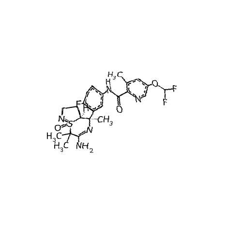 Cc1cc(OC(F)F)cnc1C(=O)Nc1ccc(F)c([C@@]2(C)N=C(N)C(C)(C)[S@@]3(=O)=NCC[C@@H]23)c1